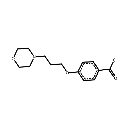 O=C(Cl)c1ccc(OCCCN2CCOCC2)cc1